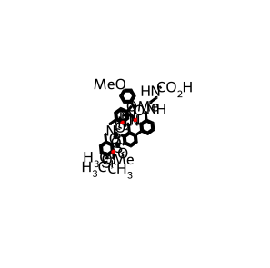 COc1ccc(CN(Cc2ccc(OC)cc2)S(=O)(=O)c2c(S(=O)(=O)CC[Si](C)(C)C)ccc(-c3cccc(C(=O)NCCNC(=O)O)c3N)c2-c2nnn(Cc3ccc(OC)cc3)n2)cc1